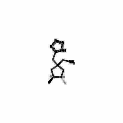 C[C@H]1CC(CN)(Cc2nnn[nH]2)C[C@@H]1C